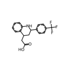 O=C(O)CC1CC(c2ccc(C(F)(F)F)cc2)Nc2ccccc21